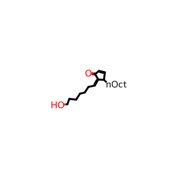 CCCCCCCCC1C=CC(=O)C1=CCCCCCCO